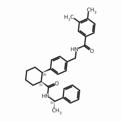 Cc1ccc(C(=O)NCc2ccc([C@@H]3CCCC[C@@H]3C(=O)N[C@@H](C)c3ccccc3)cc2)cc1C